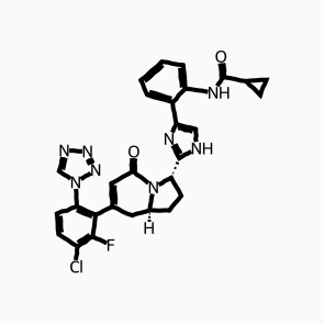 O=C(Nc1ccccc1-c1c[nH]c([C@@H]2CC[C@H]3CC(c4c(-n5cnnn5)ccc(Cl)c4F)=CC(=O)N32)n1)C1CC1